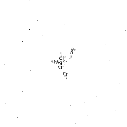 [Cl-].[Cl-].[Cl-].[K+].[Mg+2]